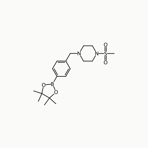 CC1(C)OB(c2ccc(CN3CCN(S(C)(=O)=O)CC3)cc2)OC1(C)C